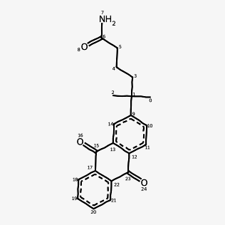 CC(C)(CCCC(N)=O)c1ccc2c(c1)C(=O)c1ccccc1C2=O